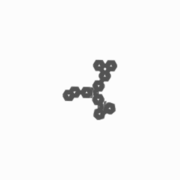 c1ccc2cc(-c3ccc(N(c4ccc(-c5ccc6c7ccccc7c7ccccc7c6c5)cc4)c4ccc(-n5c6ccccc6c6ccccc65)cc4)cc3)ccc2c1